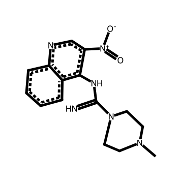 CN1CCN(C(=N)Nc2c([N+](=O)[O-])cnc3ccccc23)CC1